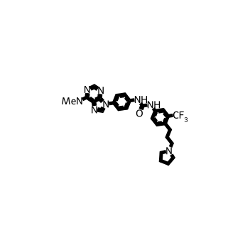 CNc1ncnc2c1ncn2-c1ccc(NC(=O)Nc2ccc(CCCN3CCCC3)c(C(F)(F)F)c2)cc1